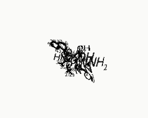 CCOc1nc(N)nc2c1ncn2C1O[C@H](COP(=O)(N[C@H](C(=O)OCC(C)(C)C)C(C)C)Oc2cccc3ccccc23)[C@@H](O)[C@@]1(C)O